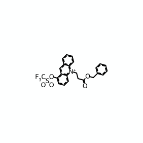 O=C(CC[n+]1c2ccccc2cc2c(OS(=O)(=O)C(F)(F)F)cccc21)OCc1ccccc1